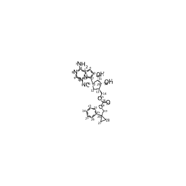 N#C[C@@]1(c2ccc3c(N)ncnn23)C[C@H](COC(=O)OCC2(c3ccccc3)CC2)[C@@H](O)[C@H]1O